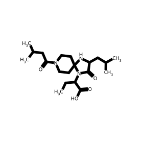 CCC(C(=O)O)N1C(=O)C(CC(C)C)NC12CCN(C(=O)CC(C)C)CC2